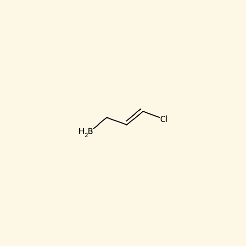 BCC=CCl